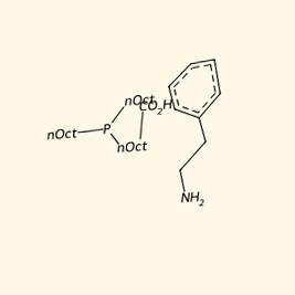 CC(=O)O.CCCCCCCCP(CCCCCCCC)CCCCCCCC.NCCc1ccccc1